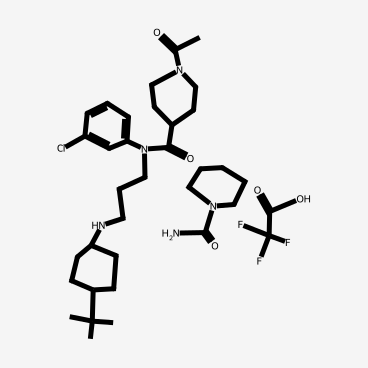 CC(=O)N1CCC(C(=O)N(CCCNC2CCC(C(C)(C)C)CC2)c2cccc(Cl)c2)CC1.NC(=O)N1CCCCC1.O=C(O)C(F)(F)F